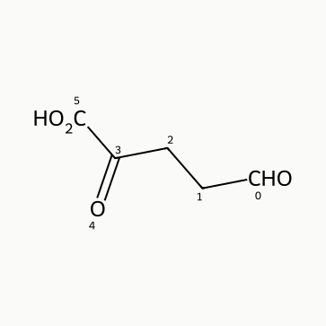 O=CCCC(=O)C(=O)O